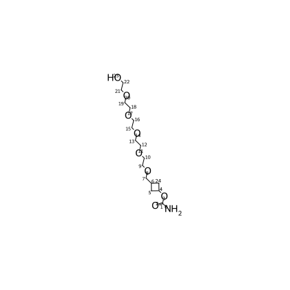 NC(=O)OC1CC(COCCOCCOCCOCCOCCO)C1